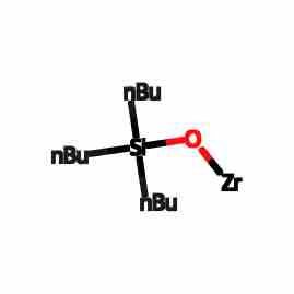 CCCC[Si](CCCC)(CCCC)[O][Zr]